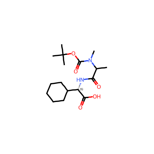 CC(C(=O)N[C@H](C(=O)O)C1CCCCC1)N(C)C(=O)OC(C)(C)C